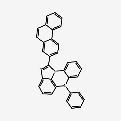 c1ccc(N2c3ccccc3-n3c(-c4ccc5c(ccc6ccccc65)c4)nc4cccc2c43)cc1